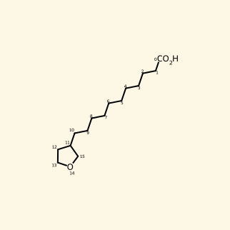 O=C(O)CCCCCCCCCCC1CCOC1